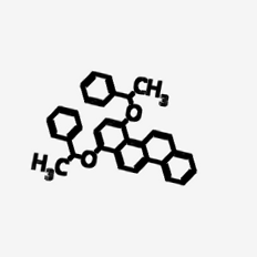 CC(Oc1ccc(OC(C)c2ccccc2)c2c1ccc1c3ccccc3ccc12)c1ccccc1